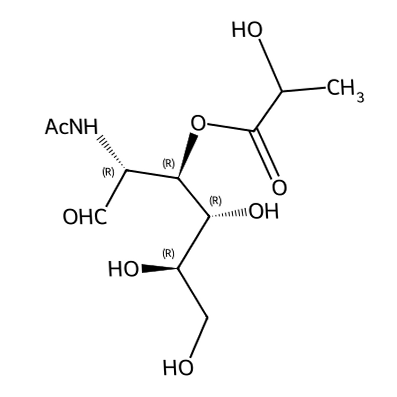 CC(=O)N[C@@H](C=O)[C@@H](OC(=O)C(C)O)[C@H](O)[C@H](O)CO